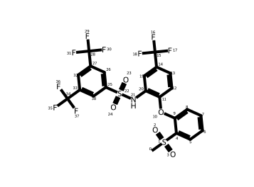 CS(=O)(=O)c1ccccc1Oc1ccc(C(F)(F)F)cc1NS(=O)(=O)c1cc(C(F)(F)F)cc(C(F)(F)F)c1